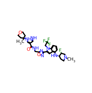 CN1CC[C@@H](Nc2cccc3c2cc(-c2noc(CNC(=O)/C(C=N)=C/NC4(C)CCOCC4)n2)n3CC(F)(F)F)[C@@H](F)C1